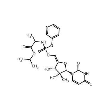 CC(C)OC(=O)C(C)NP(=S)(O/C=C1/O[C@@H](n2ccc(=O)[nH]c2=O)[C@](C)(O)[C@@H]1O)Oc1cccnc1